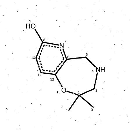 CC1(C)CNCc2nc(O)ccc2O1